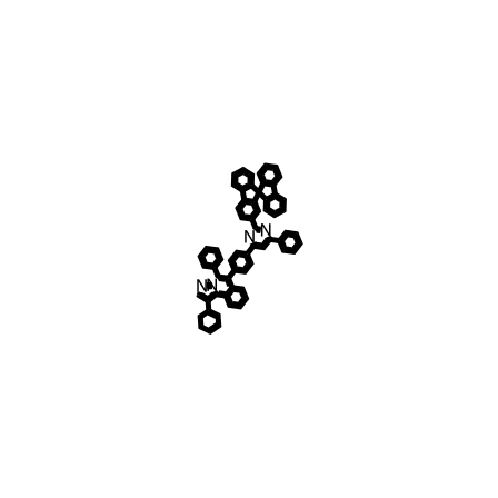 C1=CCCC(c2cnn3c(-c4ccccc4)c(-c4ccc(-c5cc(-c6ccccc6)nc(-c6ccc7c(c6)C6(c8ccccc8-c8ccccc86)c6ccccc6-7)n5)cc4)c4ccccc4c23)=C1